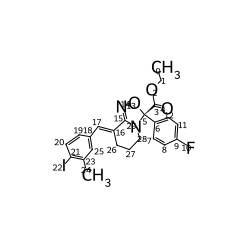 CCOC(=O)[C@]1(c2ccc(F)cc2)ON=C2/C(=C/c3ccc(I)c(C)c3)CCCN21